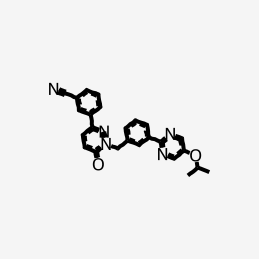 CC(C)Oc1cnc(-c2cccc(Cn3nc(-c4cccc(C#N)c4)ccc3=O)c2)nc1